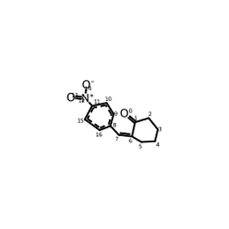 O=C1CCCCC1=Cc1ccc([N+](=O)[O-])cc1